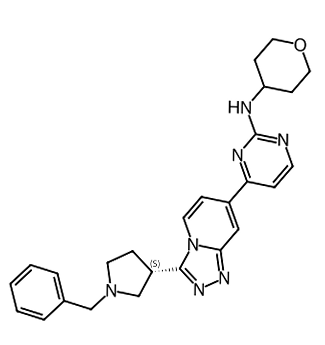 c1ccc(CN2CC[C@H](c3nnc4cc(-c5ccnc(NC6CCOCC6)n5)ccn34)C2)cc1